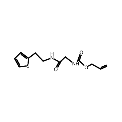 C=CCOC(=O)NCC(=O)NCCc1cccs1